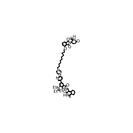 CCC(CC)N(CC)c1cc(-c2ccc(N3CCN(CCCCCCCCCCCOc4cccc5c4C(=O)N(C4CCC(=O)NC4=O)C5=O)CC3)nc2)cc(C(=O)NCc2c3c(c(C)[nH]c2=O)CCCC3)c1C